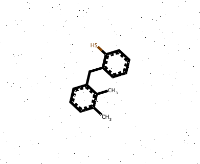 Cc1cccc(Cc2ccccc2S)c1C